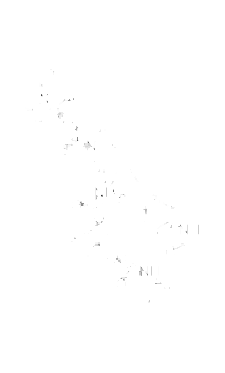 CC(=O)Nc1ccc2c(c1)Cc1ccccc1-2.CCCC(C)(COC(N)=O)COC(=O)NC(C)C.CCN(CC)C(=S)SSC(=S)N(CC)CC